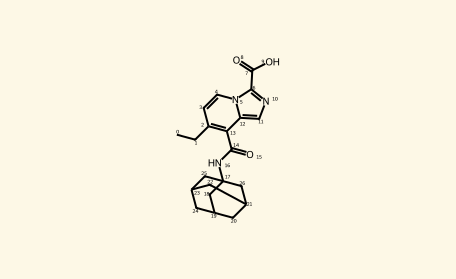 CCc1ccn2c(C(=O)O)ncc2c1C(=O)NC12CC3CC(CC(C3)C1)C2